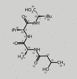 CC[C@H](C)[C@H](NC(=O)[C@@H](NC(=O)[C@H](C)NC(=O)CC(C)O)C(C)C)C(=O)O